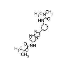 CC(C)OC(=O)Nc1cnc2nc(-c3cccc(NC(=O)N(C)C)c3)cn2c1